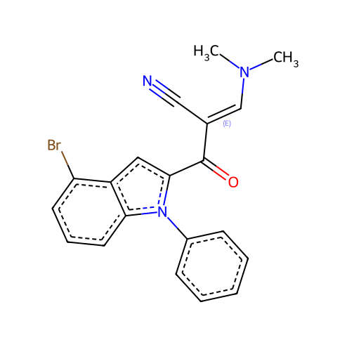 CN(C)/C=C(\C#N)C(=O)c1cc2c(Br)cccc2n1-c1ccccc1